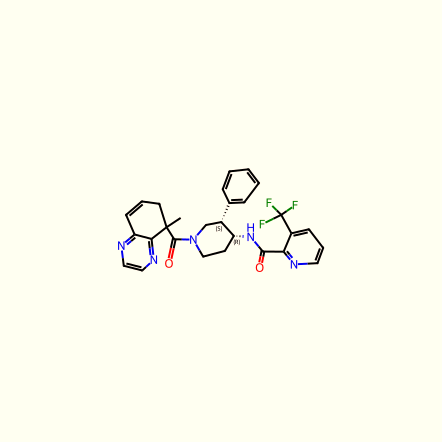 CC1(C(=O)N2CC[C@@H](NC(=O)c3ncccc3C(F)(F)F)[C@@H](c3ccccc3)C2)CC=Cc2nccnc21